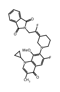 COc1c(N2CCC/C(=C(\F)CN3C(=O)c4ccccc4C3=O)C2)c(F)cc2c(=O)c(C)cn(C3CC3)c12